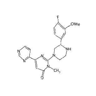 COc1cc(C2CN(c3nc(-c4ccncn4)cc(=O)n3C)CCN2)ccc1F